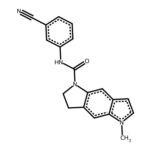 Cn1ccc2cc3c(cc21)CCN3C(=O)Nc1cccc(C#N)c1